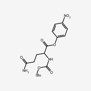 CC(C)(C)OC(=O)NC(CCC(N)=O)C(=O)Oc1ccc([N+](=O)[O-])cc1